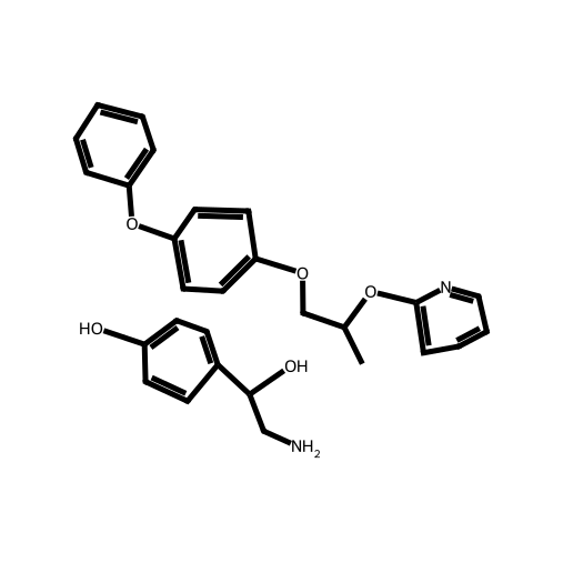 CC(COc1ccc(Oc2ccccc2)cc1)Oc1ccccn1.NCC(O)c1ccc(O)cc1